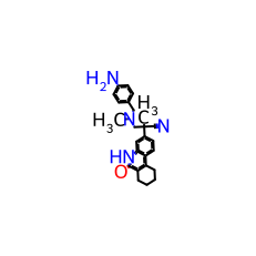 CN(Cc1ccc(N)cc1)CC(C)(C#N)c1ccc2c3c(c(=O)[nH]c2c1)CCCC3